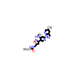 COC(=O)NCC1CC(c2cnc(-n3ncc4cc(C#N)cnc43)cc2NC(C)C)=NO1